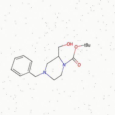 CC(C)(C)OC(=O)N1CCN(Cc2ccccc2)CC1CO